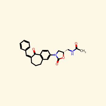 CC(=O)NC[C@H]1CN(c2ccc3c(c2)CCC/C(=C/c2ccccc2)C3=O)C(=O)O1